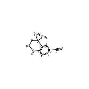 C#Cc1ccc2c(c1)C(CCC)(CCC)CCS2